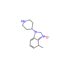 CC1C=CC=C2C1=[N+]([O-])CN2C1CCNCC1